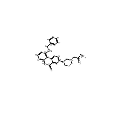 NC(=O)CN1CCCC(c2ccc3c(c2)c(=O)oc2cccc(OCc4ccccc4)c23)C1